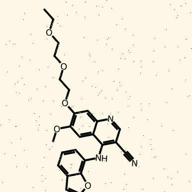 CCOCCOCCOc1cc2ncc(C#N)c(Nc3cccc4ccoc34)c2cc1OC